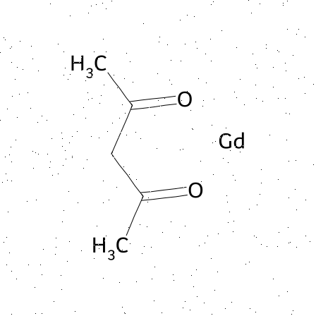 CC(=O)CC(C)=O.[Gd]